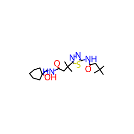 CC(C)(C)CC(=O)Nc1nnc(C(C)(C)CC(=O)NCC2(O)CCCCC2)s1